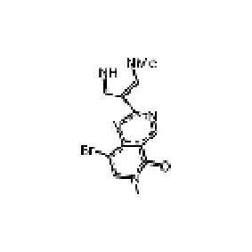 CN/C=C(\C=N)c1ncc2c(=O)n(C)cc(Br)c2n1